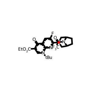 CCOC(=O)c1cn(C(C)(C)C)c2nc(N3CC4CCC(C3)N4C(=O)C(F)(F)F)c(F)cc2c1=O